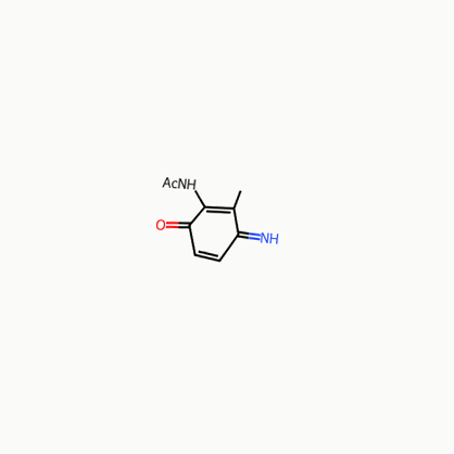 CC(=O)NC1=C(C)C(=N)C=CC1=O